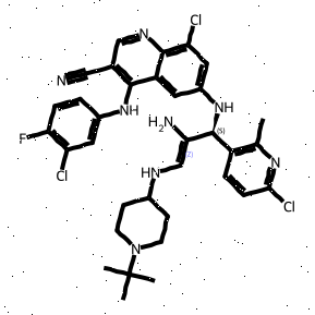 Cc1nc(Cl)ccc1[C@H](Nc1cc(Cl)c2ncc(C#N)c(Nc3ccc(F)c(Cl)c3)c2c1)/C(N)=C/NC1CCN(C(C)(C)C)CC1